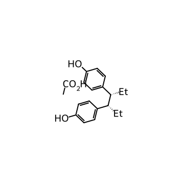 CC(=O)O.CC[C@H](c1ccc(O)cc1)[C@@H](CC)c1ccc(O)cc1